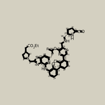 CCOC(=O)CC1CCN(Cc2nc3c(Nc4cccc(-c5cccc(-c6cnc(CNC[C@@H]7CCC(=C=O)N7)c(OC(F)F)n6)c5Cl)c4Cl)nccc3s2)C1